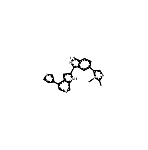 Cc1ncc(-c2ccc3[nH]nc(-c4cc5c(-c6ccsc6)cncc5[nH]4)c3c2)n1C